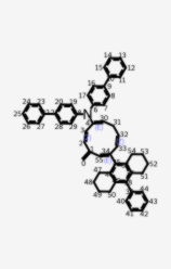 C=C1/C=C\C(N(c2ccc(-c3ccccc3)cc2)c2ccc(-c3ccccc3)cc2)=C/C/C=C\C(c2c3c(c(-c4ccccc4)c4c2CCCC4)CCCC3)=C/1